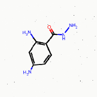 NNC(=O)c1ccc(N)cc1N